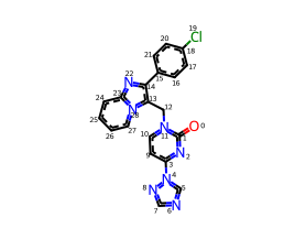 O=c1nc(-n2cncn2)ccn1Cc1c(-c2ccc(Cl)cc2)nc2ccccn12